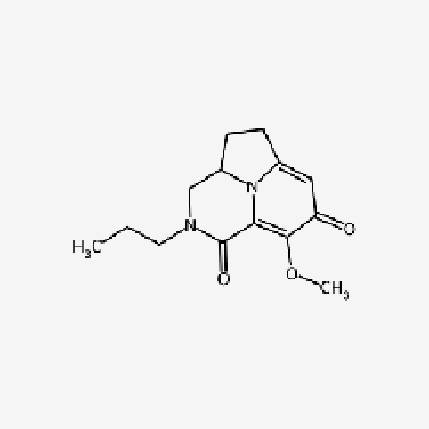 CCCN1CC2CCc3cc(=O)c(OC)c(n32)C1=O